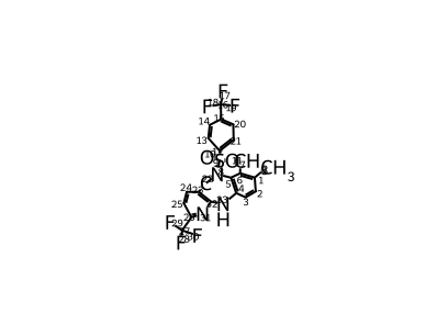 Cc1ccc2c(c1C)N(S(=O)(=O)c1ccc(C(F)(F)F)cc1)Cc1ccc(C(F)(F)F)nc1N2